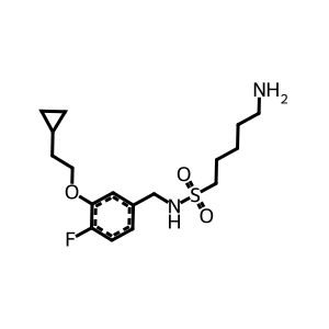 NCCCCCS(=O)(=O)NCc1ccc(F)c(OCCC2CC2)c1